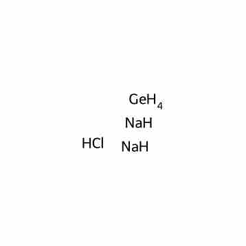 Cl.[GeH4].[NaH].[NaH]